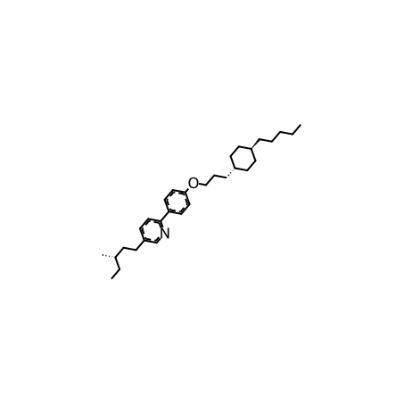 CCCCC[C@H]1CC[C@H](CCCOc2ccc(-c3ccc(CC[C@@H](C)CC)cn3)cc2)CC1